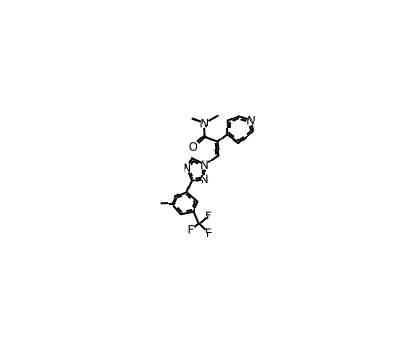 Cc1cc(-c2ncn(/C=C(\C(=O)N(C)C)c3ccncc3)n2)cc(C(F)(F)F)c1